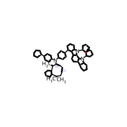 C=C1/C(N(c2ccc(-c3ccccc3)cc2)c2ccc(-c3cccc4c3c3ccc5c6ccccc6n(-c6ccccc6)c5c3n4-c3ccccc3)cc2)=C\C=C/CC(C)(C)c2ccccc21